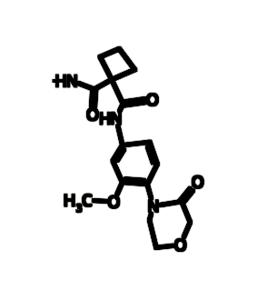 COc1cc(NC(=O)C2(C([NH])=O)CCC2)ccc1N1CCOCC1=O